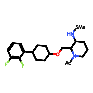 CSNC1CCCN(C(C)=O)C1COC1CCC(c2cccc(F)c2F)CC1